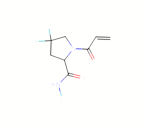 C=CC(=O)N1CC(F)(F)CC1C(=O)NF